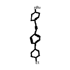 CCCCC1CC=C(C#Cc2ccc(C3CCC(CC)CC3)cc2)CC1